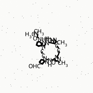 CCn1nc(C)c2c1C(=O)Nc1nc3c(NC(=O)CN(C)C)cccc3n1CCCCn1c(nc3cc(C=O)ccc31)NC(=O)c1cc(C)nn1CCCCC2